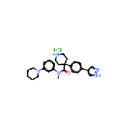 CN(C(=O)C1(c2ccc(-c3cn[nH]c3)cc2)CCNCC1)c1cccc(N2CCCCC2)c1.Cl